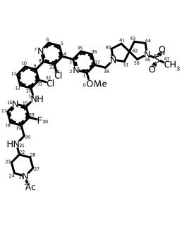 COc1nc(-c2ccnc(-c3cccc(Nc4nccc(CNC5CCN(C(C)=O)CC5)c4F)c3Cl)c2Cl)ccc1CN1CCC2(CCN(S(C)(=O)=O)C2)C1